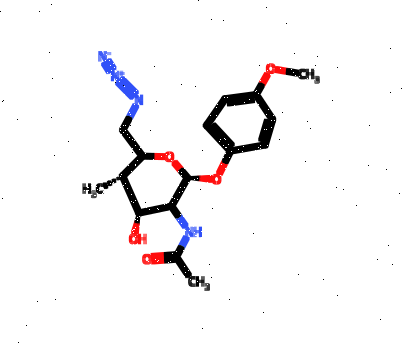 COc1ccc(O[C@@H]2OC(CN=[N+]=[N-])[C@@H](C)[C@H](O)C2NC(C)=O)cc1